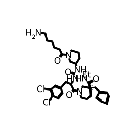 CCNC(=O)[C@]1(Cc2ccccc2)CCCN(C(=O)C(Cc2ccc(Cl)c(Cl)c2)NC(=O)NC2CCCN(C(=O)CCCCCN)C2)C1